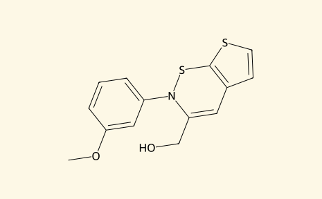 COc1cccc(N2Sc3sccc3C=C2CO)c1